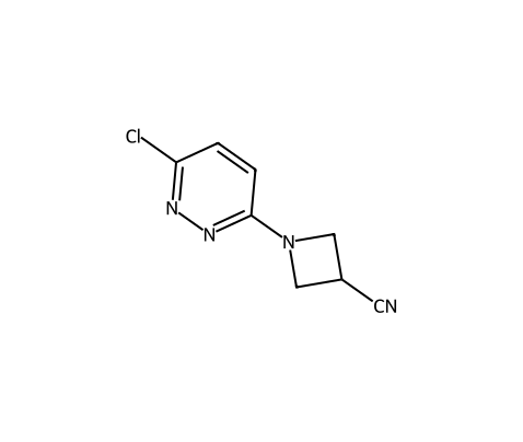 N#CC1CN(c2ccc(Cl)nn2)C1